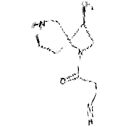 C[C@H]1CN(C(=O)CC#N)[C@]12CCNC2